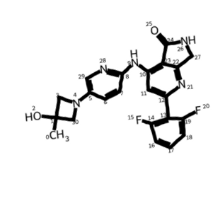 CC1(O)CN(c2ccc(Nc3cc(-c4c(F)cccc4F)nc4c3C(=O)NC4)nc2)C1